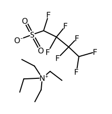 CC[N+](CC)(CC)CC.O=S(=O)([O-])C(F)C(F)(F)C(F)(F)C(F)F